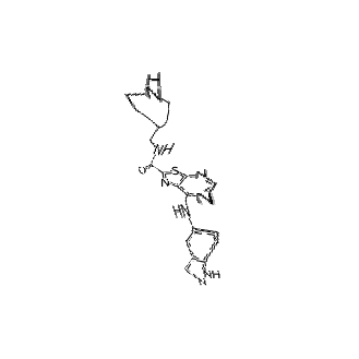 O=C(NCC1CCNCC1)c1nc2c(Nc3ccc4[nH]ncc4c3)ncnc2s1